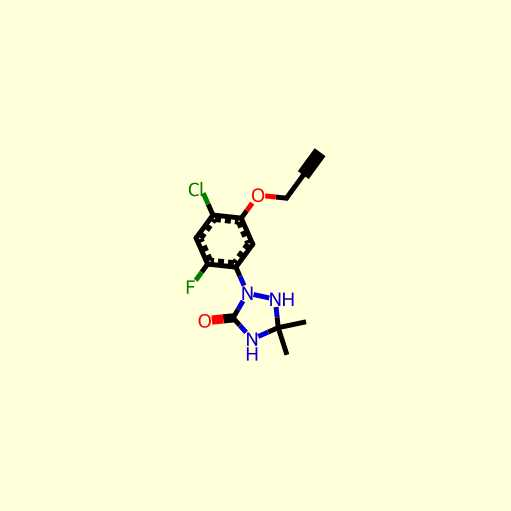 C#CCOc1cc(N2NC(C)(C)NC2=O)c(F)cc1Cl